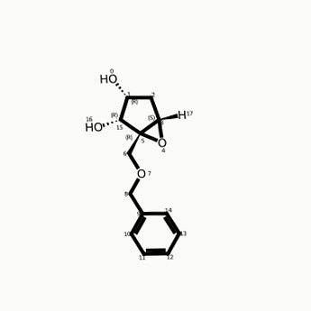 O[C@@H]1C[C@@H]2O[C@]2(COCc2ccccc2)[C@@H]1O